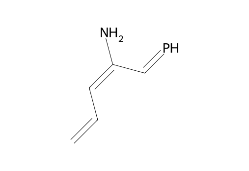 C=C/C=C(/N)C=P